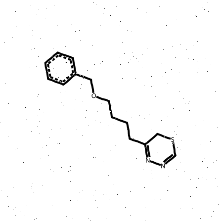 C1=NN=C(CCCCOCc2ccccc2)CS1